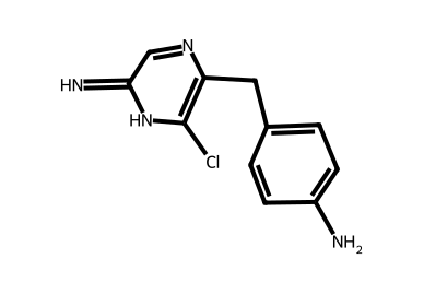 N=c1cnc(Cc2ccc(N)cc2)c(Cl)[nH]1